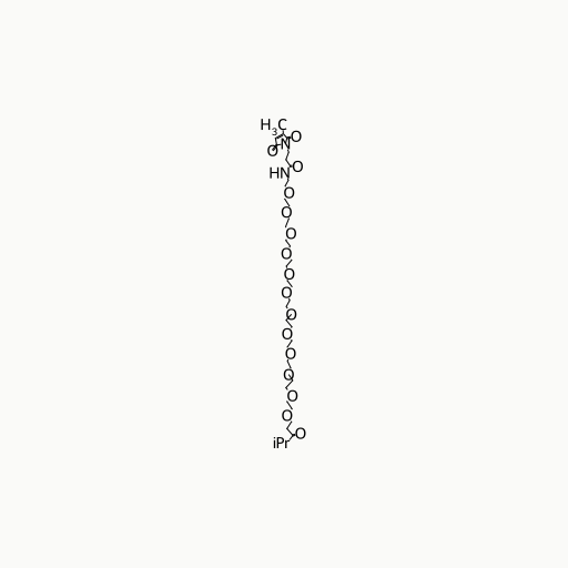 CC1=CC(=O)N(CCC(=O)NCCOCCOCCOCCOCCOCCOCCOCCOCCOCCOCCOCCOCCC(=O)C(C)C)C1=O